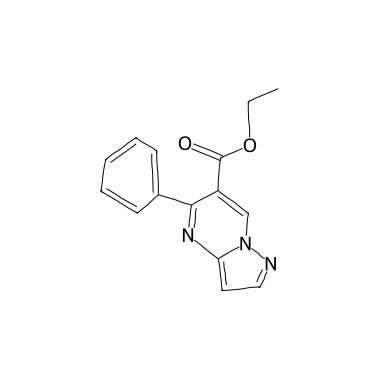 CCOC(=O)c1cn2nccc2nc1-c1ccccc1